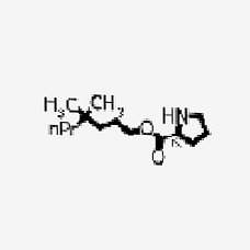 CCCC(C)(C)CCCOC(=O)[C@@H]1CCCN1